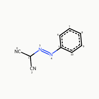 N#CC(C#N)/N=N/c1ccccc1